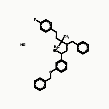 CC(C)(CCc1ccc(F)cc1)N(Cc1ccccc1)CC(O)c1cccc(OCc2ccccc2)c1.Cl